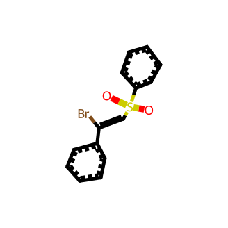 O=S(=O)(C=C(Br)c1ccccc1)c1ccccc1